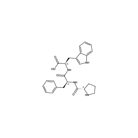 O=C(N[C@@H](Cc1ccccc1)C(=O)N[C@H](Cc1c[nH]c2ccccc12)C(=O)O)[C@@H]1CCCN1